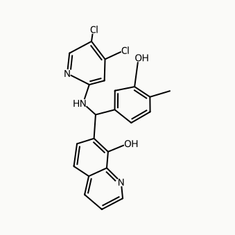 Cc1ccc(C(Nc2cc(Cl)c(Cl)cn2)c2ccc3cccnc3c2O)cc1O